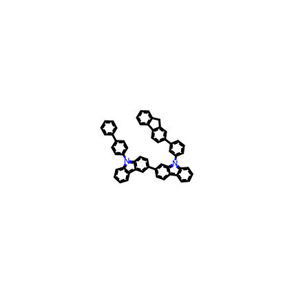 c1ccc(-c2ccc(-n3c4ccccc4c4cc(-c5ccc6c7ccccc7n(-c7cccc(-c8ccc9c(c8)Cc8ccccc8-9)c7)c6c5)ccc43)cc2)cc1